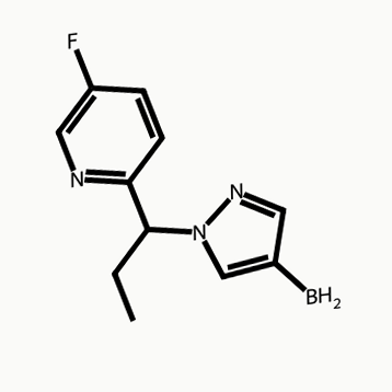 Bc1cnn(C(CC)c2ccc(F)cn2)c1